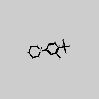 Cc1cc([SH]2CCCCC2)ccc1C(C)(C)C